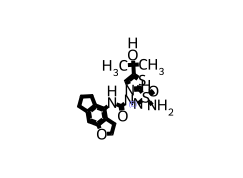 CC(C)(O)c1cnc([SH](N)(=O)/N=N/C(=O)Nc2c3c(cc4c2CCO4)CCC3)s1